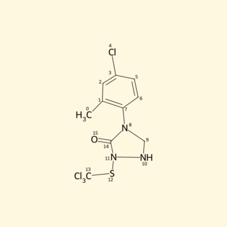 Cc1cc(Cl)ccc1N1CNN(SC(Cl)(Cl)Cl)C1=O